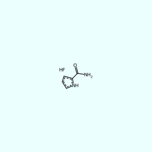 F.NC(=O)c1ccc[nH]1